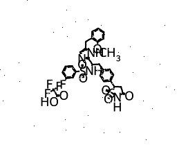 COc1ccccc1Cc1cnc(C(Cc2ccc(C3CC(=O)NS3(=O)=O)cc2)NS(=O)(=O)c2cccc(F)c2)[nH]1.O=C(O)C(F)(F)F